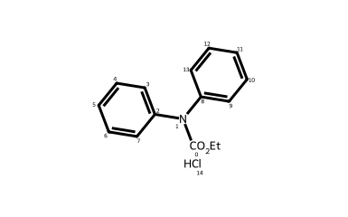 CCOC(=O)N(c1ccccc1)c1ccccc1.Cl